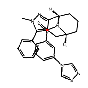 Cn1nc2c(c1-c1ccccc1)C[C@H]1CCC[C@@H]2N1C(=O)c1cccc(-n2cnnc2)c1